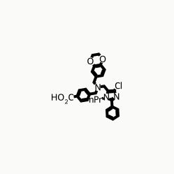 CCCn1c(-c2ccccc2)nc(Cl)c1CN(Cc1ccc(C(=O)O)cc1)Cc1ccc2c(c1)OCCO2